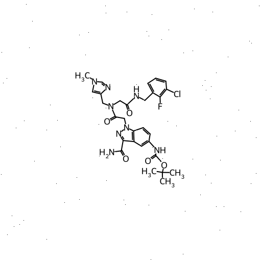 Cn1cnc(CN(CC(=O)NCc2cccc(Cl)c2F)C(=O)Cn2nc(C(N)=O)c3cc(NC(=O)OC(C)(C)C)ccc32)c1